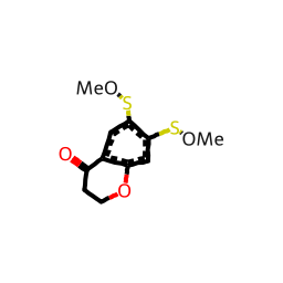 COSc1cc2c(cc1SOC)C(=O)CCO2